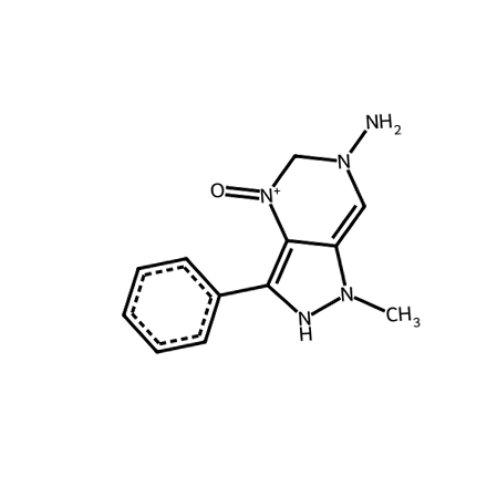 CN1NC(c2ccccc2)=C2C1=CN(N)C[N+]2=O